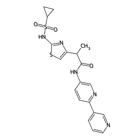 CC(C(=O)Nc1ccc(-c2cccnc2)nc1)c1csc(NS(=O)(=O)C2CC2)n1